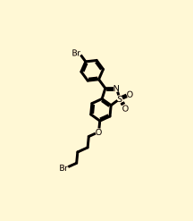 O=S1(=O)N=C(c2ccc(Br)cc2)c2ccc(OCCCCBr)cc21